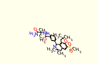 CC1(C)Cc2cc(S(C)(=O)=O)c3c(c2C(c2cccc(C(=O)NC(C)(C)C(N)=O)c2)=N1)CC(C)(C)O3